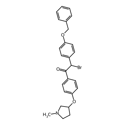 CN1CCC(Oc2ccc(C(=O)C(Br)c3ccc(OCc4ccccc4)cc3)cc2)C1